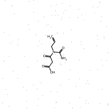 C=CCN(C(N)=O)C(=O)CC(=O)O